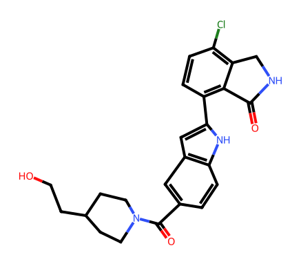 O=C1NCc2c(Cl)ccc(-c3cc4cc(C(=O)N5CCC(CCO)CC5)ccc4[nH]3)c21